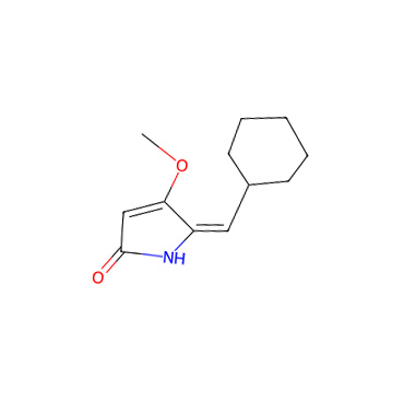 COC1=CC(=O)NC1=CC1CCCCC1